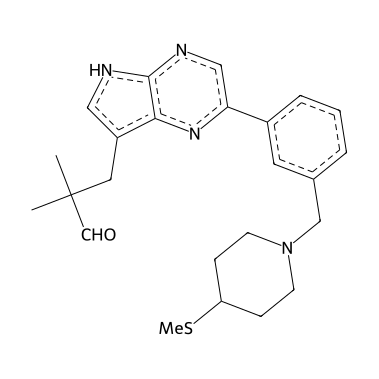 CSC1CCN(Cc2cccc(-c3cnc4[nH]cc(CC(C)(C)C=O)c4n3)c2)CC1